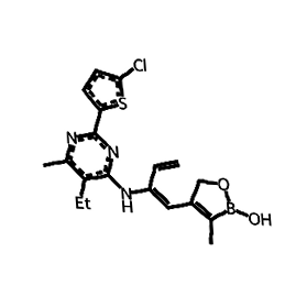 C=C/C(=C\C1=C(C)B(O)OC1)Nc1nc(-c2ccc(Cl)s2)nc(C)c1CC